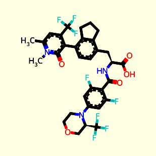 Cc1cc(C(F)(F)F)c(-c2ccc(C[C@H](NC(=O)c3c(F)cc(N4CCOC[C@@H]4C(F)(F)F)cc3F)C(=O)O)c3c2CCC3)c(=O)n1C